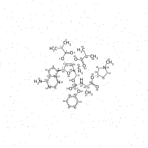 CC(C)C(=O)O[C@H]1[C@H](c2ccc3c(N)ncnn23)O[C@](C)(CO[P@@](=O)(N[C@@H](C)C(=O)O[C@H]2CCN(C)C2)Oc2ccccc2)[C@H]1OC(=O)C(C)C